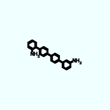 Nc1cccc(-c2ccc(-c3ccc(-c4ccccc4N)cc3)cc2)c1